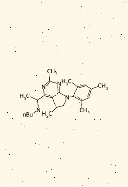 CCCC[N]C(C)c1nc(C)nc2c1C(C)CN2c1c(C)cc(C)cc1C